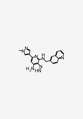 Cn1cc(-c2cc(N)c(N=N)c(NCc3ccc4ncccc4c3)n2)cn1